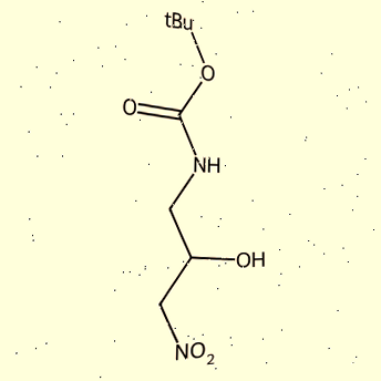 CC(C)(C)OC(=O)NCC(O)C[N+](=O)[O-]